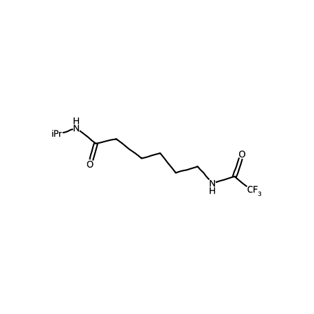 CC(C)NC(=O)CCCCCNC(=O)C(F)(F)F